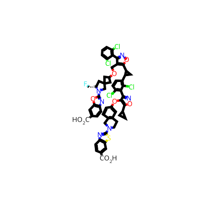 O=C(O)c1ccc2nc(N3CC4(CC(OCc5c(-c6c(Cl)cccc6Cl)noc5C5CC5c5ccc(Cl)c(-c6noc(C7CC7)c6Oc6ccc7c(c6)CCN(c6nc8ccc(C(=O)O)cc8s6)C7)c5Cl)C4)C[C@H]3CF)oc2c1